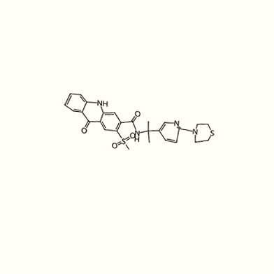 CC(C)(NC(=O)c1cc2[nH]c3ccccc3c(=O)c2cc1S(C)(=O)=O)c1ccc(N2CCSCC2)nc1